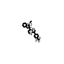 CCOC(=O)[C@@](C)(Cc1ccccc1)c1ccnc2c(-c3ccc(C(F)(F)F)cc3)cnn12